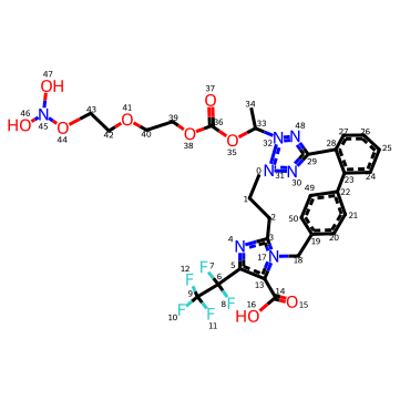 CCCc1nc(C(F)(F)C(F)(F)F)c(C(=O)O)n1Cc1ccc(-c2ccccc2-c2nnn(C(C)OC(=O)OCCOCCON(O)O)n2)cc1